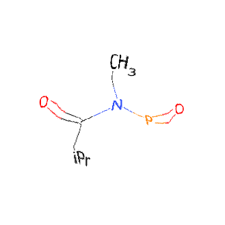 CC(C)C(=O)N(C)P=O